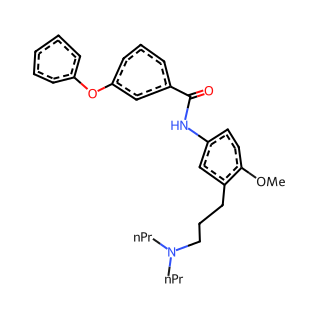 CCCN(CCC)CCCc1cc(NC(=O)c2cccc(Oc3ccccc3)c2)ccc1OC